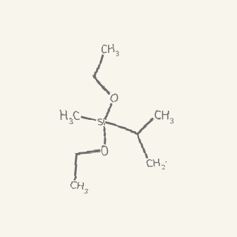 [CH2]C(C)[Si](C)(OCC)OCC